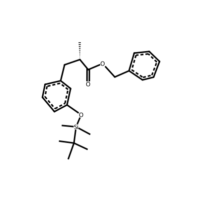 C[C@@H](Cc1cccc(O[Si](C)(C)C(C)(C)C)c1)C(=O)OCc1ccccc1